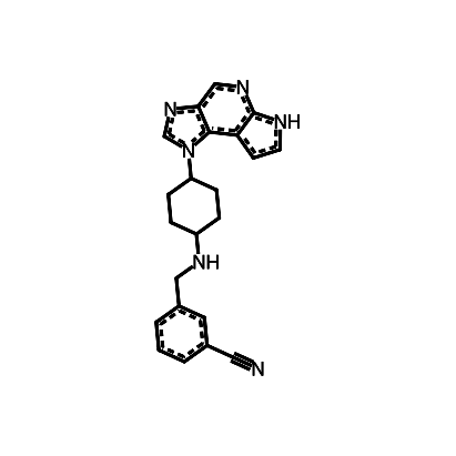 N#Cc1cccc(CNC2CCC(n3cnc4cnc5[nH]ccc5c43)CC2)c1